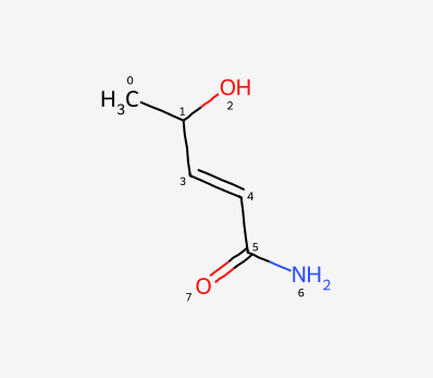 CC(O)C=CC(N)=O